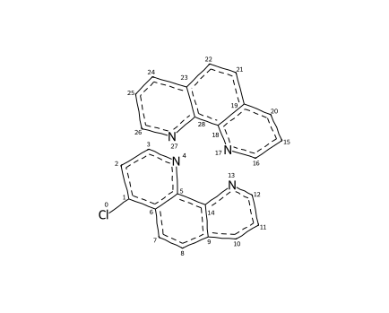 Clc1ccnc2c1ccc1cccnc12.c1cnc2c(c1)ccc1cccnc12